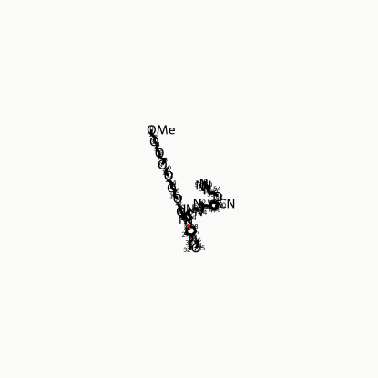 COCCOCCOCCOCCOCCOCCOCCOc1nn([C@H]2CC[C@H](N3C[C@@H](C)O[C@@H](C)C3)CC2)cc1Nc1ncc(-c2ccc(C#N)c(O[C@@H](C)Cn3cnnn3)c2)cn1